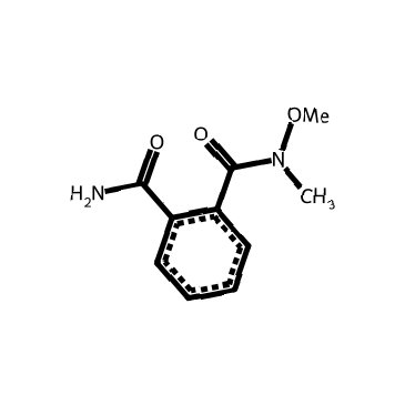 CON(C)C(=O)c1ccccc1C(N)=O